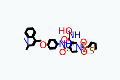 Cc1cc(COc2ccc(NC(=O)[C@H]3CCN(S(=O)(=O)c4cccs4)C[C@@H]3C(=O)NO)cc2)c2ccccc2n1